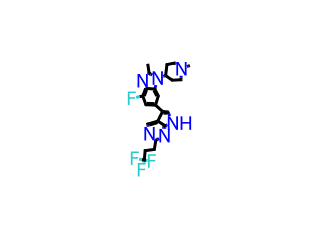 Cc1nc2c(F)cc(-c3c[nH]c4nc(CCC(F)(F)F)ncc34)cc2n1C1CCN(C)CC1